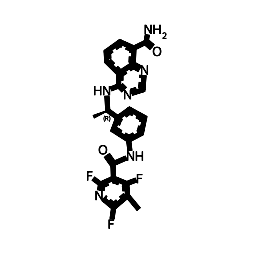 Cc1c(F)nc(F)c(C(=O)Nc2cccc([C@@H](C)Nc3ncnc4c(C(N)=O)cccc34)c2)c1F